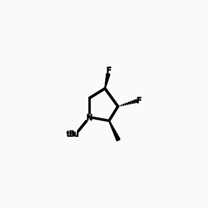 C[C@@H]1[C@@H](F)[C@H](F)CN1C(C)(C)C